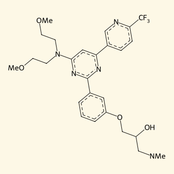 CNCC(O)COc1cccc(-c2nc(-c3ccc(C(F)(F)F)nc3)cc(N(CCOC)CCOC)n2)c1